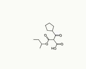 CCC(C)OC(=O)C(C(=O)O)C(=O)C1CCCC1